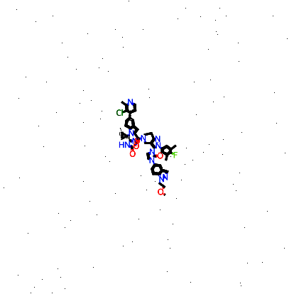 COCCn1ncc2cc(-n3ccn(-c4c5c(nn4-c4cc(C)c(F)c(C)c4)CCN(C(=O)c4cc6cc(-c7ccnc(C)c7Cl)ccc6n4[C@@]4(c6noc(=O)[nH]6)C[C@@H]4C)C5)c3=O)ccc21